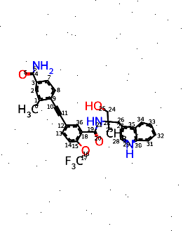 Cc1cc(C(N)=O)ccc1C#Cc1ccc(OC(F)(F)F)c(C(=O)NC(C)(CO)Cc2c[nH]c3ccccc23)c1